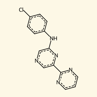 Clc1ccc(Nc2cncc(-c3ncccn3)n2)cc1